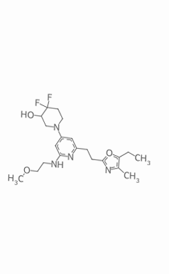 CCc1oc(CCc2cc(N3CCC(F)(F)C(O)C3)cc(NCCOC)n2)nc1C